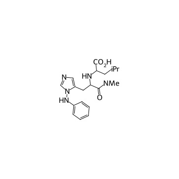 CNC(=O)C(Cc1cncn1Nc1ccccc1)NC(CC(C)C)C(=O)O